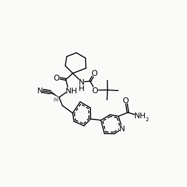 CC(C)(C)OC(=O)NC1(C(=O)N[C@H](C#N)Cc2ccc(-c3ccnc(C(N)=O)c3)cc2)CCCCC1